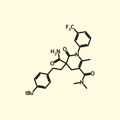 CC1=C(C(=O)N(C)C)CC(CCc2ccc(C(C)(C)C)cc2)(C(N)=O)C(=O)N1c1cccc(C(F)(F)F)c1